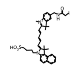 C[N+]1=C(C=CC=CC=C2N(CCCCS(=O)(=O)O)c3ccc4ccccc4c3C2(C)C)C(C)(C)c2cc(CNC(=O)CI)ccc21